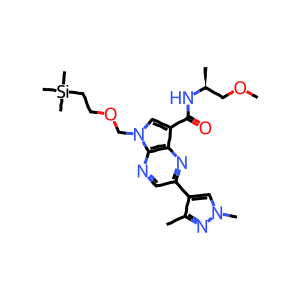 COC[C@H](C)NC(=O)c1cn(COCC[Si](C)(C)C)c2ncc(-c3cn(C)nc3C)nc12